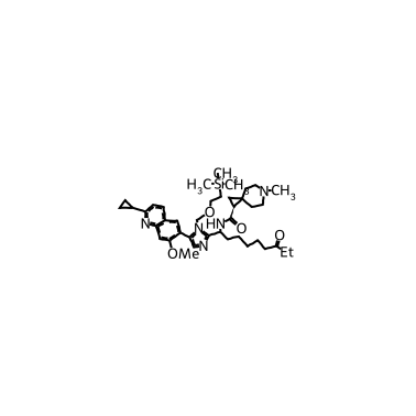 CCC(=O)CCCCCC(NC(=O)[C@H]1CC12CCN(C)CC2)c1ncc(-c2cc3ccc(C4CC4)nc3cc2OC)n1COCC[Si](C)(C)C